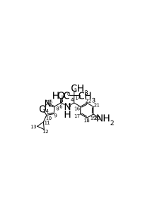 CC(C)(C)C(NC(=O)c1cc(C2CC2)on1)c1ccc(N)cc1